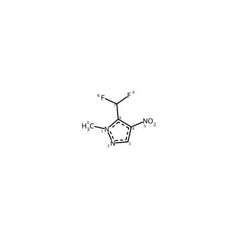 Cn1ncc([N+](=O)[O-])c1C(F)F